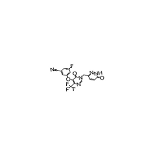 N#Cc1cc(F)cc(Oc2c(C(F)(F)F)ncn(Cc3ccc(=O)[nH]n3)c2=O)c1